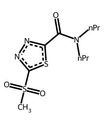 CCCN(CCC)C(=O)c1nnc(S(C)(=O)=O)s1